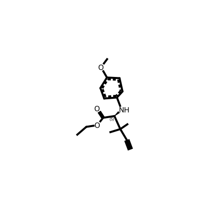 C#CC(C)(C)[C@H](Nc1ccc(OC)cc1)C(=O)OCC